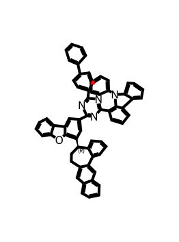 c1ccc(-c2ccc(-c3nc(-c4cc([C@@H]5CCc6cc7ccccc7cc6-c6ccccc65)c5oc6ccccc6c5c4)nc(-c4cccc5c6ccccc6n(-c6ccccc6)c45)n3)cc2)cc1